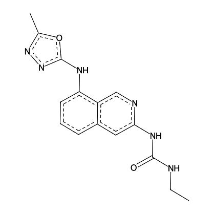 CCNC(=O)Nc1cc2cccc(Nc3nnc(C)o3)c2cn1